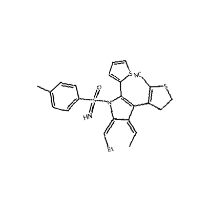 C/C=c1/c(C2=C(C#N)SCC2)c(-c2cccs2)n(S(=N)(=O)c2ccc(C)cc2)/c1=C/CC